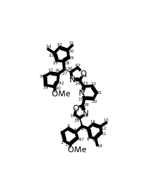 COc1cccc(C(c2cc(C)cc(C)c2)[C@H]2COC(c3cccc(C4=NC([C@@H](c5cc(C)cc(C)c5)c5cccc(OC)c5)CO4)n3)=N2)c1